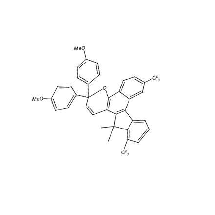 COc1ccc(C2(c3ccc(OC)cc3)C=Cc3c4c(c5cc(C(F)(F)F)ccc5c3O2)-c2cccc(C(F)(F)F)c2C4(C)C)cc1